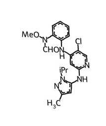 CON(C=O)c1ccccc1Nc1cc(Nc2cc(C)nn2C(C)C)ncc1Cl